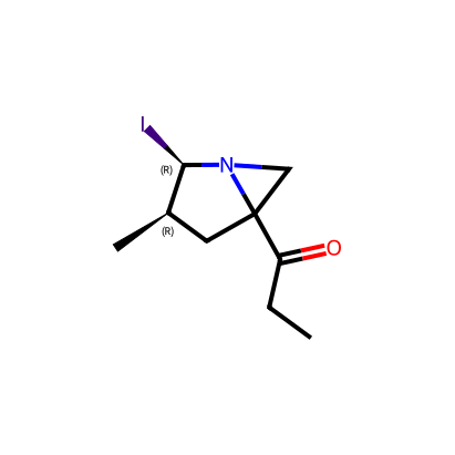 CCC(=O)C12C[C@@H](C)[C@@H](I)N1C2